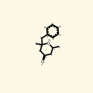 CC1CC(=O)CC(C)(Cc2ccccc2)O1